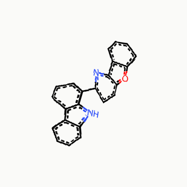 c1ccc2c(c1)[nH]c1c(-c3ccc4oc5ccccc5c4n3)cccc12